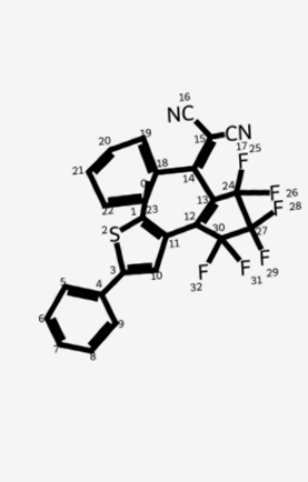 Cc1sc(-c2ccccc2)cc1C1=C(C(=C(C#N)C#N)c2ccccc2)C(F)(F)C(F)(F)C1(F)F